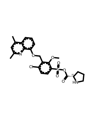 COc1c(S(=O)(=O)OC(=O)[C@@H]2CCCN2)ccc(Cl)c1COc1cccc2c(C)cc(C)nc12